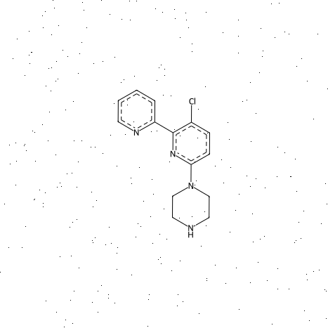 Clc1ccc(N2CCNCC2)nc1-c1ccccn1